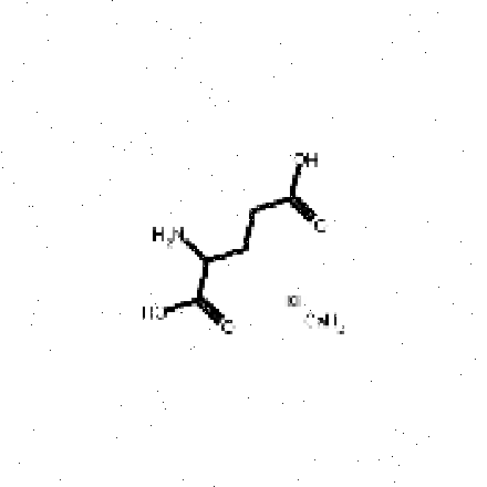 NC(CCC(=O)O)C(=O)O.[CaH2].[KH]